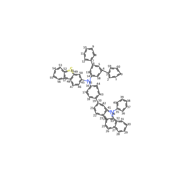 c1ccc(-c2cc(-c3ccccc3)cc(N(c3ccc(-c4ccc5c6ccc7ccccc7c6n(-c6ccccc6)c5c4)cc3)c3ccc4c(c3)sc3ccccc34)c2)cc1